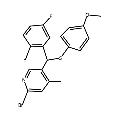 COc1ccc(SC(c2cnc(Br)cc2C)c2cc(F)ccc2F)cc1